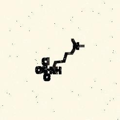 CN(C)CCCCNS(=O)(=O)Cl